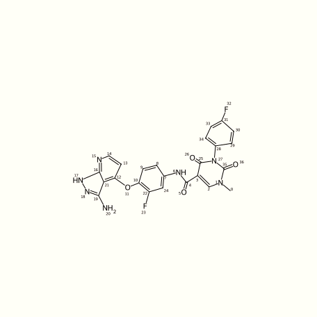 Cn1cc(C(=O)Nc2ccc(Oc3ccnc4[nH]nc(N)c34)c(F)c2)c(=O)n(-c2ccc(F)cc2)c1=O